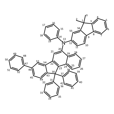 CC1(C)c2ccccc2-c2ccc(N(c3ccccc3)c3cc4c(c5ccccc35)C(c3ccccc3)(c3ccccc3)c3ccc(-c5ccccc5)cc3-4)cc21